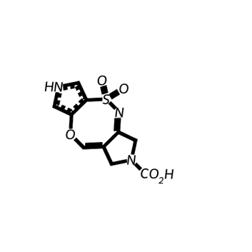 O=C(O)N1CC2=COc3c[nH]cc3S(=O)(=O)N=C2C1